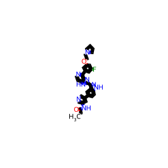 CCC(=O)Nc1cncc(-c2ccc3[nH]nc(-c4nc5c(-c6cc(F)cc(OCCN7CCCC7)c6)nccc5[nH]4)c3c2)c1